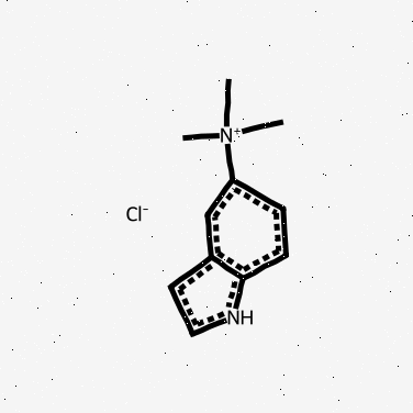 C[N+](C)(C)c1ccc2[nH]ccc2c1.[Cl-]